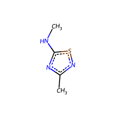 CNc1nc(C)ns1